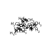 Cc1cc(C)c(-c2sc(-c3c4cc(-c5sc(-c6c(C)c(C)c(-c7cc(C)c(C)s7)c7nsnc67)cc5C)sc4c(-c4cc(C)c(-c5sc(C)cc5C)s4)c4cc(C)sc34)cc2C)s1